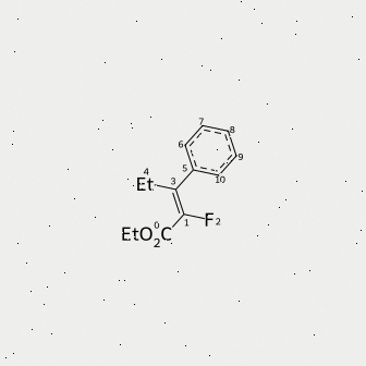 CCOC(=O)/C(F)=C(\CC)c1ccccc1